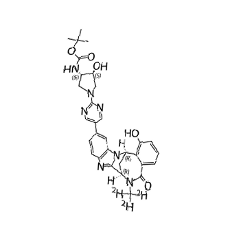 [2H]C([2H])([2H])N1C(=O)c2cccc(O)c2[C@H]2C[C@@H]1c1nc3ccc(-c4cnc(N5C[C@H](NC(=O)OC(C)(C)C)[C@@H](O)C5)nc4)cc3n12